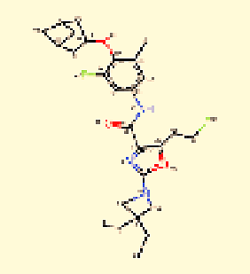 CCC1(CC)CN(c2nc(C(=O)Nc3cc(C)c(OC4CC5CC(C5)C4)c(F)c3)c(CCF)o2)C1